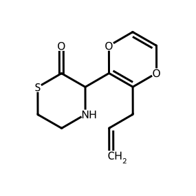 C=CCC1=C(C2NCCSC2=O)OC=CO1